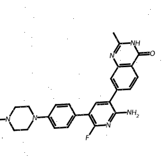 Cc1nc2cc(-c3cc(-c4ccc(N5CCN(C(C)C)CC5)cc4)c(F)nc3N)ccc2c(=O)[nH]1